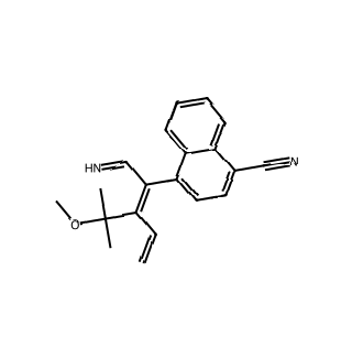 C=C/C(=C(/C=N)c1ccc(C#N)c2ccccc12)C(C)(C)OC